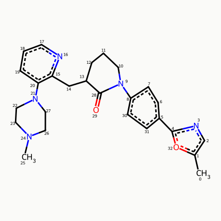 Cc1cnc(-c2ccc(N3CCCC(Cc4ncccc4N4CCN(C)CC4)C3=O)cc2)o1